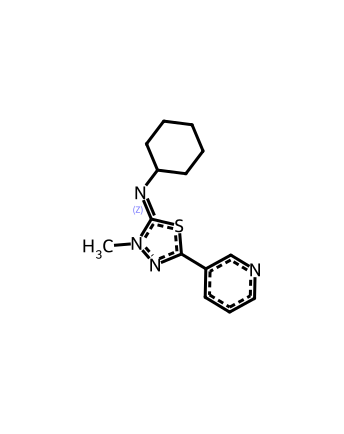 Cn1nc(-c2cccnc2)s/c1=N\C1CCCCC1